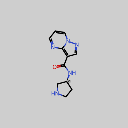 O=C(N[C@H]1CCNC1)c1cnn2cccnc12